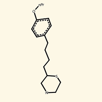 CCCOc1ccc(CCCCC2C[N]CCS2)cc1